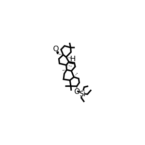 CC[Si](CC)(CC)O[C@H]1CC[C@@]2(C)C(CC[C@]3(C)C2CC=C2[C@@H]4CC(C)(C)CC[C@]4(C=O)CC[C@@]23C)C1(C)C